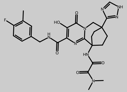 Cc1cc(CNC(=O)c2nc3n(c(=O)c2O)CC2(c4nc[nH]n4)CCC3(NC(=O)C(=O)N(C)C)CC2)ccc1F